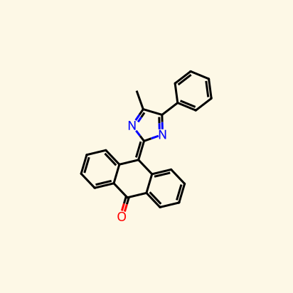 CC1=NC(=C2c3ccccc3C(=O)c3ccccc32)N=C1c1ccccc1